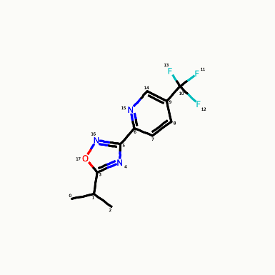 CC(C)c1nc(-c2ccc(C(F)(F)F)cn2)no1